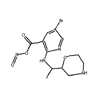 CC(Nc1ncc(Br)cc1C(=O)ON=O)C1CNCCO1